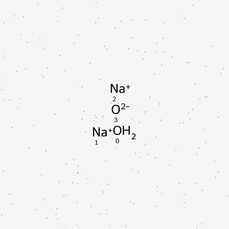 O.[Na+].[Na+].[O-2]